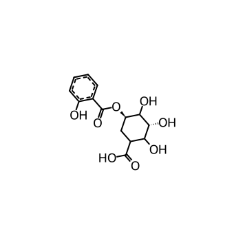 O=C(O[C@@H]1CC(C(=O)O)C(O)[C@@H](O)C1O)c1ccccc1O